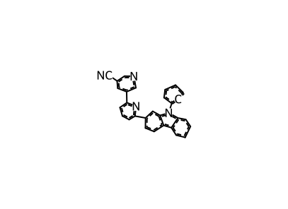 N#Cc1cncc(-c2cccc(-c3ccc4c5ccccc5n(-c5ccccc5)c4c3)n2)c1